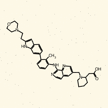 Cc1c(Nc2nccc3cc(CN4CCCCC4CC(=O)O)cnc23)cccc1-c1ccc2cc(CCN3CCOCC3)[nH]c2c1